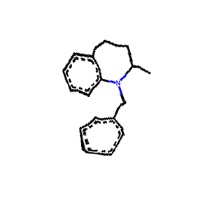 CC1CCc2ccccc2N1Cc1ccccc1